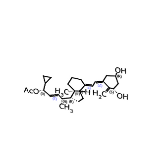 C=C1/C(=C\C=C2/CCC[C@]3(C)[C@@H]([C@H](C)/C=C/[C@H](OC(C)=O)C4CC4)CC[C@@H]23)C[C@@H](O)C[C@@H]1O